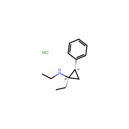 CCN[C@]1(CC)C[C@H]1c1ccccc1.Cl